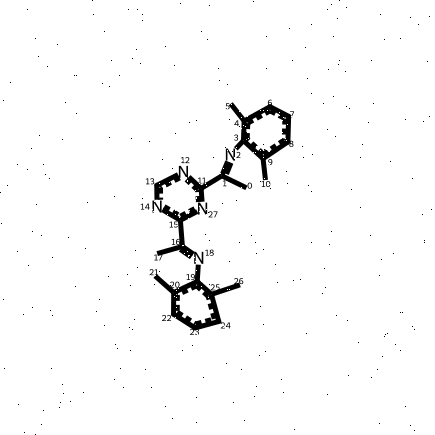 CC(=Nc1c(C)cccc1C)c1ncnc(C(C)=Nc2c(C)cccc2C)n1